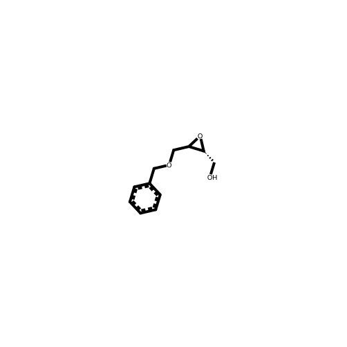 OC[C@H]1OC1COCc1ccccc1